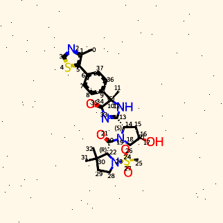 Cc1ncsc1-c1ccc([C@]2(C)NC([C@@H]3C[C@@H](O)CN3C(=O)[C@@H]3N(S(C)(=O)=O)CCC3(C)C)=NC2=O)cc1